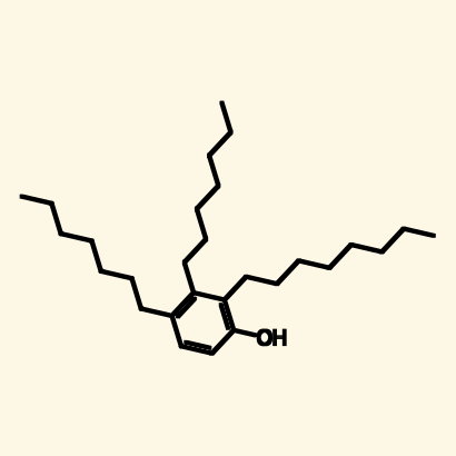 CCCCCCCCc1c(O)ccc(CCCCCCC)c1CCCCCCC